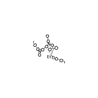 C=Cc1ccc(-c2ccc(OCC(CC)CCCCC3(c4cc(C)ccc4C)c4ccccc4-c4ccc(N(c5ccc(-c6ccccc6)cc5)c5ccc(-c6ccc7c(c6)c6cc(-c8ccc(C=C)cc8)ccc6n7-c6ccccc6)cc5)cc43)cc2)cc1